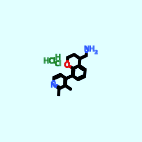 Cc1nccc(-c2cccc3c2OCCC3CN)c1C.Cl.Cl